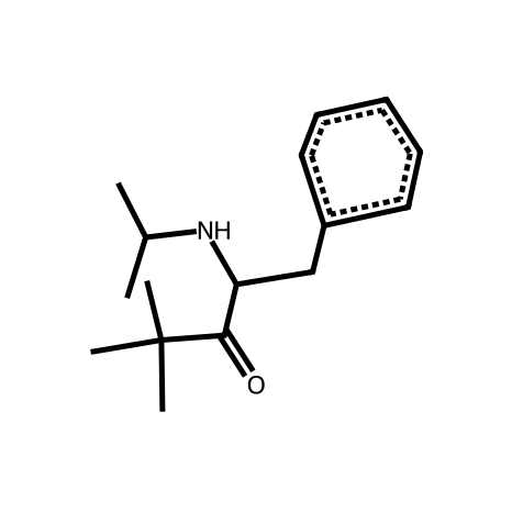 CC(C)NC(Cc1ccccc1)C(=O)C(C)(C)C